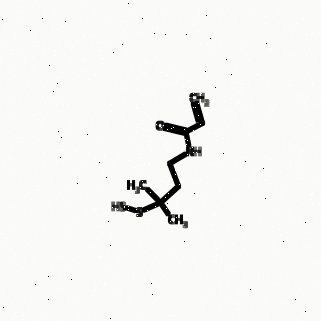 C=CC(=O)NCCC(C)(C)SS